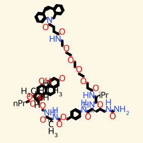 CCCC1O[C@@H]2C[C@H]3[C@@H]4CCC5=CC(=O)C=C[C@]5(C)[C@H]4[C@@H](O)C[C@]3(C)[C@]2(C(=O)COCNC(=O)[C@H](C)NC(=O)OCc2ccc(NC(=O)[C@H](CCCNC(N)=O)NC(=O)[C@@H](NC(=O)CCOCCOCCOCCOCCNC(=O)CCC(=O)N3Cc4ccccc4C#Cc4ccccc43)C(C)C)cc2)O1